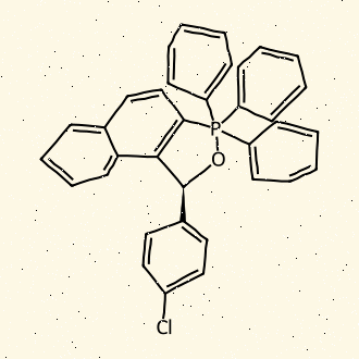 Clc1ccc([C@@H]2OP(c3ccccc3)(c3ccccc3)(c3ccccc3)c3ccc4ccccc4c32)cc1